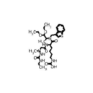 CCNC(=O)NN(C)CC(=O)NC(CCCCNC(=O)O)C(=O)N(Cc1csc2ccccc12)C(C)C(OCC)OCC